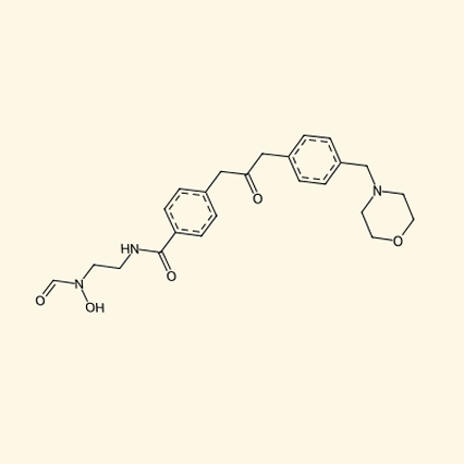 O=CN(O)CCNC(=O)c1ccc(CC(=O)Cc2ccc(CN3CCOCC3)cc2)cc1